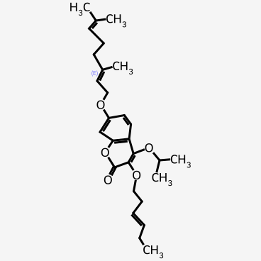 CCC=CCCOc1c(OC(C)C)c2ccc(OC/C=C(\C)CCC=C(C)C)cc2oc1=O